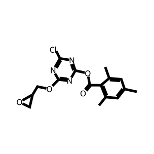 Cc1cc(C)c(C(=O)Oc2nc(Cl)nc(OCC3CO3)n2)c(C)c1